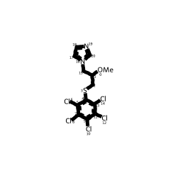 COC(CSc1c(Cl)c(Cl)c(Cl)c(Cl)c1Cl)Cn1ccnc1